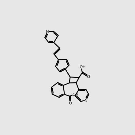 O=C(O)c1ccccc1C1C(c2ccncc2)C(C(=O)O)C1c1ccc(C=Cc2ccncc2)cc1